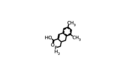 Cc1cc(C)c2c(c1)C=C(C(=O)O)C(CP)C2